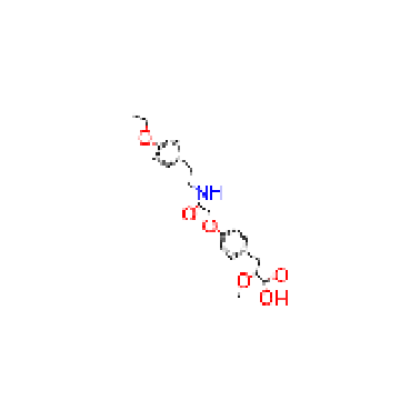 CCOc1ccc(CCNC(=O)COc2ccc(CC(OC)C(=O)O)cc2)cc1